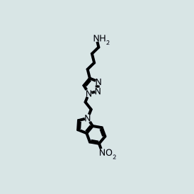 NCCCCc1cn(CCn2ccc3cc([N+](=O)[O-])ccc32)nn1